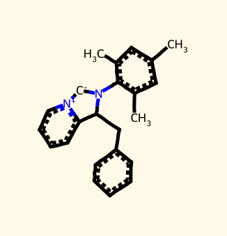 Cc1cc(C)c(N2[CH-][n+]3ccccc3C2Cc2ccccc2)c(C)c1